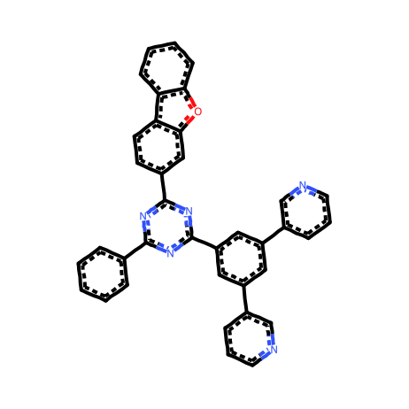 c1ccc(-c2nc(-c3cc(-c4cccnc4)cc(-c4cccnc4)c3)nc(-c3ccc4c(c3)oc3ccccc34)n2)cc1